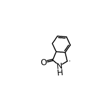 O=C1N[CH]C2=CC=CCC12